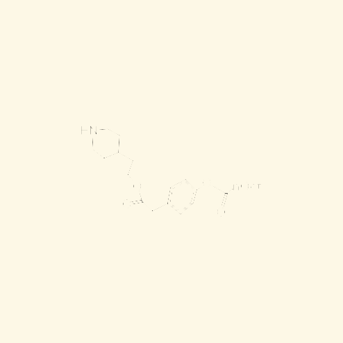 CCCCCCCCC(=O)Oc1ccc(CC(=O)OCCC2CCNCC2)cc1